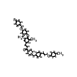 Cc1ccc(OCC=Cc2ccc(CN3CCN(C(=O)C=Cc4cc(C)c(Oc5ccc(OCc6ccc(F)cc6)cn5)c(C)c4)CC3)cc2)cc1